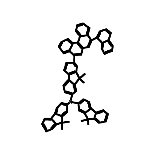 CC1(C)c2ccccc2-c2ccc(N(c3ccc4c(c3)C(C)(C)c3ccccc3-4)c3ccc4c(c3)C(C)(C)c3cc(-c5cc6cc(-c7cccc8ccccc78)c7ccccc7c6c6ccccc56)ccc3-4)cc21